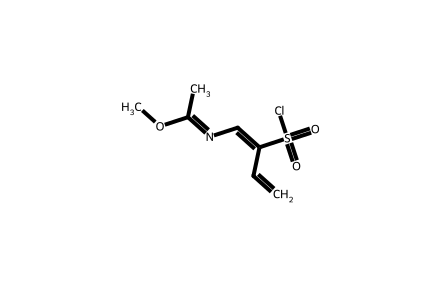 C=C/C(=C\N=C(/C)OC)S(=O)(=O)Cl